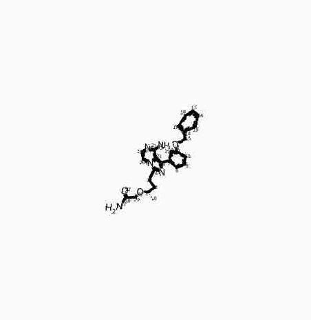 C[C@@H](CCc1nc(-c2cccc(OCc3ccccc3)c2)c2c(N)nccn12)OCC(N)=O